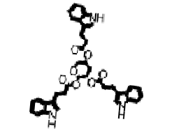 O=C(CCc1c[nH]c2ccccc12)O[C@@H]1CO[C@@H](OC(=O)CCc2c[nH]c3ccccc23)[C@H](OC(=O)CCc2c[nH]c3ccccc23)C1